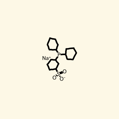 O=S(=O)([O-])C1CCCC(P(C2CCCCC2)C2CCCCC2)C1.[Na+]